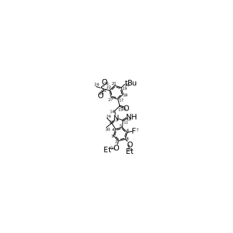 CCOc1cc2c(c(F)c1OCC)C(=N)N(CC(=O)c1cc(C(C)(C)C)cc(S(C)(=O)=O)c1)C2(C)C